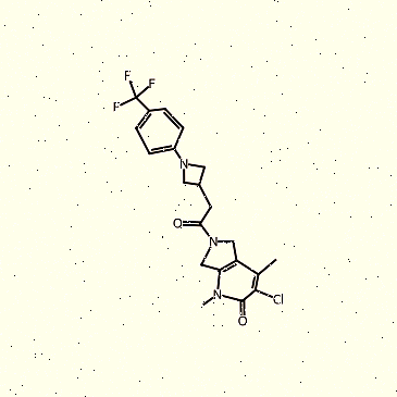 Cc1c2c(n(C)c(=O)c1Cl)CN(C(=O)CC1CN(c3ccc(C(F)(F)F)cc3)C1)C2